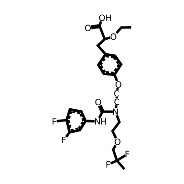 CCOC(Cc1ccc(OCCN(CCOCC(C)(F)F)C(=O)Nc2ccc(F)c(F)c2)cc1)C(=O)O